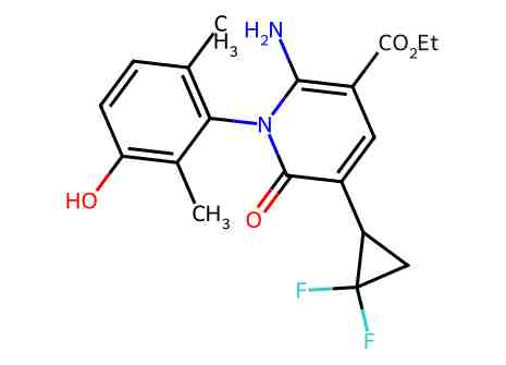 CCOC(=O)c1cc(C2CC2(F)F)c(=O)n(-c2c(C)ccc(O)c2C)c1N